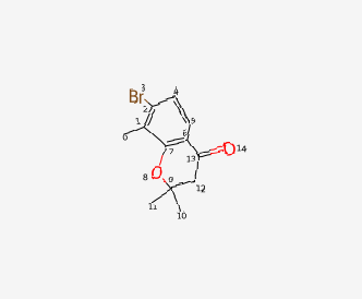 Cc1c(Br)ccc2c1OC(C)(C)CC2=O